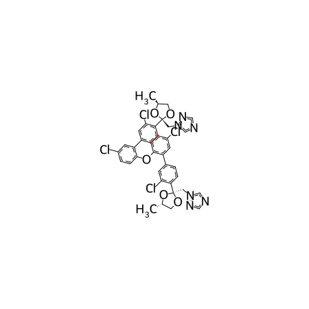 C[C@H]1CO[C@](Cn2cncn2)(c2ccc(-c3cc(Cl)ccc3Oc3ccc(Cl)cc3-c3ccc([C@@]4(Cn5cncn5)OC[C@H](C)O4)c(Cl)c3)cc2Cl)O1